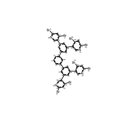 Brc1cc(Br)c(-c2cc(-c3cccc(-c4cc(-c5cnc(Br)cc5Br)cc(-c5cnc(Br)cc5Br)c4)c3)cc(-c3cnc(Br)cc3Br)c2)cn1